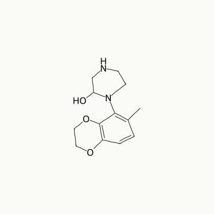 Cc1ccc2c(c1N1CCNCC1O)OCCO2